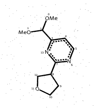 COC(OC)c1ccnc(C2CCOC2)n1